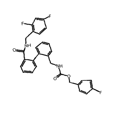 O=C(NCc1ccccc1-c1ccccc1C(=O)NCc1ccc(F)cc1F)OCc1ccc(F)cc1